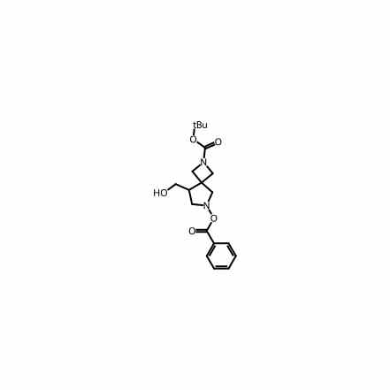 CC(C)(C)OC(=O)N1CC2(CN(OC(=O)c3ccccc3)CC2CO)C1